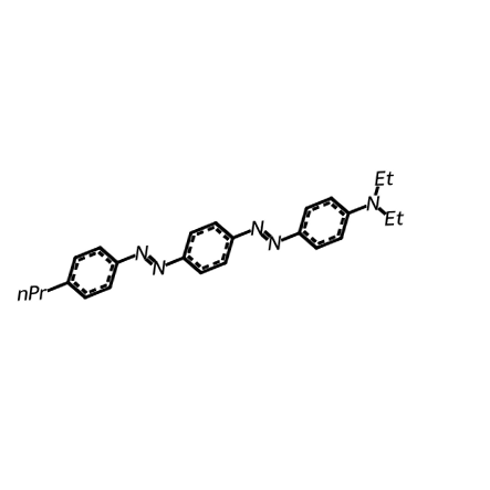 CCCc1ccc(N=Nc2ccc(N=Nc3ccc(N(CC)CC)cc3)cc2)cc1